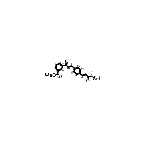 COC(=O)c1cccc(C(=O)/C=C/c2ccc(/C=C/C(=O)NO)cc2)c1